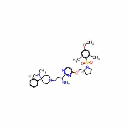 COc1cc(C)c(S(=O)(=O)N2CCC[C@H]2COc2ccnc(C(N)CCN3CCC(c4ccccc4)(N(C)C)CC3)n2)c(C)c1